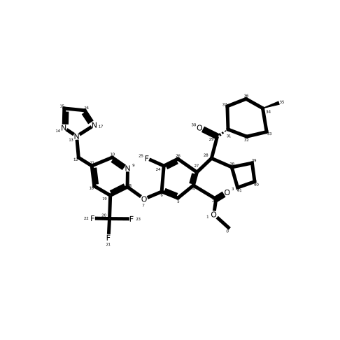 COC(=O)c1cc(Oc2ncc(Cn3nccn3)cc2C(F)(F)F)c(F)cc1C(C(=O)[C@H]1CC[C@H](C)CC1)C1CCC1